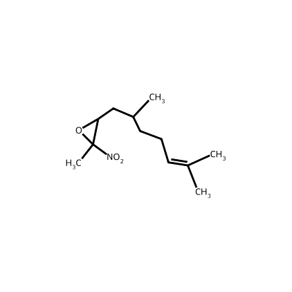 CC(C)=CCCC(C)CC1OC1(C)[N+](=O)[O-]